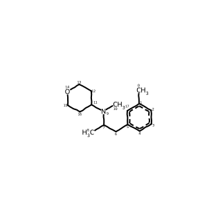 Cc1cccc(CC(C)N(C)C2CCOCC2)c1